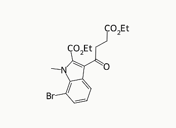 CCOC(=O)CCC(=O)c1c(C(=O)OCC)n(C)c2c(Br)cccc12